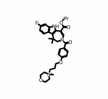 CC(C)OC(=O)C1=CN(C(=O)c2ccc(OCCC[N+]3(C)CCOCC3)cc2)CC(C)(C)c2c1[nH]c1cc(F)ccc21